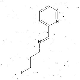 ICCC/N=C/c1ccccn1